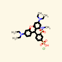 CCN(CC)c1ccc2c(-c3ccc(S(=O)(=O)O)cc3S(=O)(=O)NC)c3ccc(N(CC)CC)cc3[o+]c2c1.[Cl-]